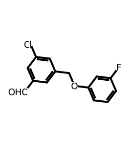 O=Cc1cc(Cl)cc(COc2cccc(F)c2)c1